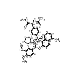 CCOc1cc([C@@H](Oc2ccc3c(N)nccc3c2)C(=O)N2CCC[C@@H]2c2cc(N(OC(=O)C(F)(F)F)C(=O)OC)ccc2S(=O)(=O)C(C)C)ccc1OC(C)C